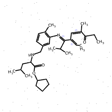 C/C=C(\C=C(\C)C(=O)CC)C(=N/c1cc(CNC(CC(C)C)C(=O)OC2CCCC2)ccc1C)/C(C)C